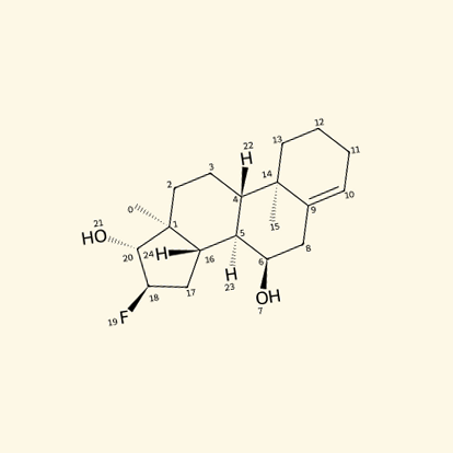 C[C@]12CC[C@H]3[C@@H]([C@H](O)CC4=CCCC[C@@]43C)[C@@H]1C[C@@H](F)[C@@H]2O